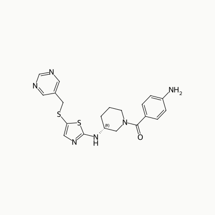 Nc1ccc(C(=O)N2CCC[C@@H](Nc3ncc(SCc4cncnc4)s3)C2)cc1